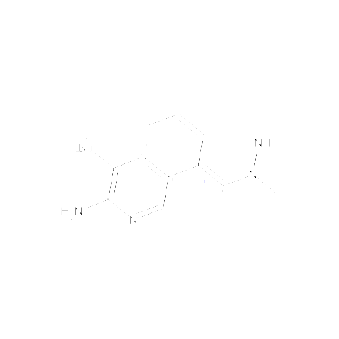 C/C=C\C(=C/N(C)N)c1cnc(N)c(C(C)(C)C)n1